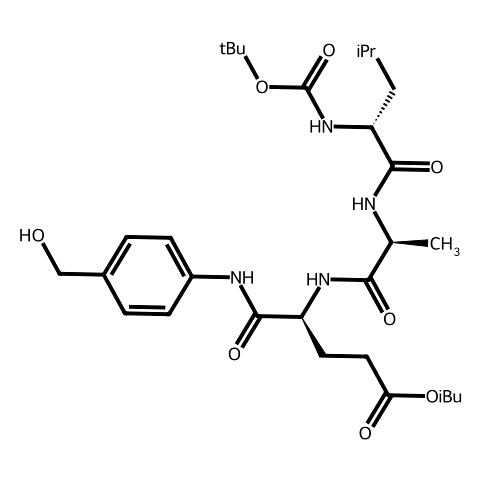 CC(C)COC(=O)CC[C@H](NC(=O)[C@H](C)NC(=O)[C@@H](CC(C)C)NC(=O)OC(C)(C)C)C(=O)Nc1ccc(CO)cc1